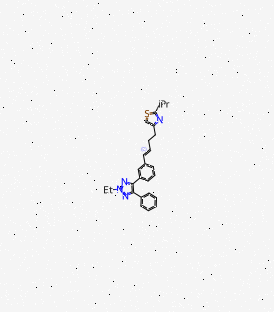 CCn1nc(-c2ccccc2)c(-c2cccc(/C=C/CCc3csc(C(C)C)n3)c2)n1